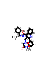 CCCN1CCN(Cc2c(-c3ccccc3)nc3ccccc3c2C(=O)N[C@@H](C)C2CCCCC2)CC1=O